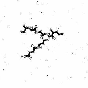 CCCC(C)C(=O)[C@H](CCCCNC(=O)CCC(=O)O)NC(=O)CNC(=O)CNC(C)CC